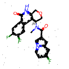 CN(C(=O)c1cc2cc(F)ccn2c1)[C@H]1COCc2[nH]c(=O)c3cc(F)c(F)cc3c21